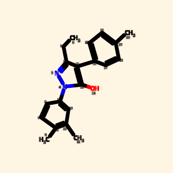 CCc1nn(-c2ccc(C)c(C)c2)c(O)c1-c1ccc(C)cc1